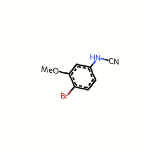 COc1cc(NC#N)ccc1Br